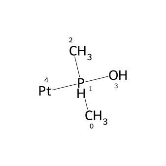 C[PH](C)(O)[Pt]